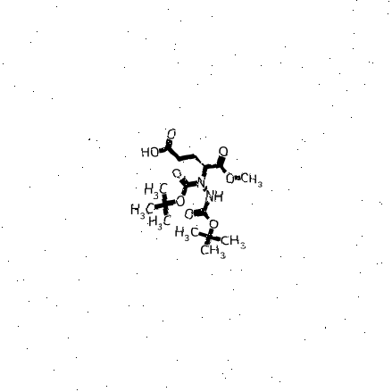 COC(=O)[C@H](CCC(=O)O)N(NC(=O)OC(C)(C)C)C(=O)OC(C)(C)C